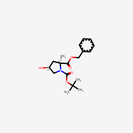 CC(C)(C)OC(=O)N1C[C@@H](O)C[C@@]1(C)C(=O)OCc1ccccc1